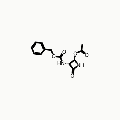 CC(=O)O[C@H]1NC(=O)[C@@H]1NC(=O)OCc1ccccc1